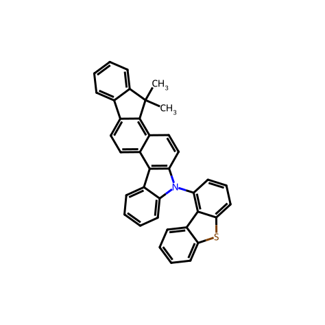 CC1(C)c2ccccc2-c2ccc3c(ccc4c3c3ccccc3n4-c3cccc4sc5ccccc5c34)c21